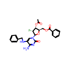 CC(=O)O[C@H]1[C@@H](F)[C@H](n2cc(NCc3ccccc3)c(N)nc2=O)O[C@@H]1COC(=O)c1ccccc1